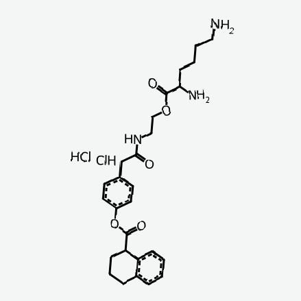 Cl.Cl.NCCCCC(N)C(=O)OCCNC(=O)Cc1ccc(OC(=O)C2CCCc3ccccc32)cc1